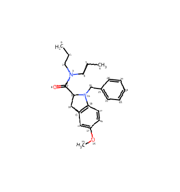 CCCN(CCC)C(=O)C1Cc2cc(OC)ccc2N1Cc1ccccc1